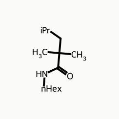 CCCCCCNC(=O)C(C)(C)CC(C)C